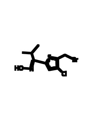 CC(C)C(=NO)c1cc(Cl)c(CBr)s1